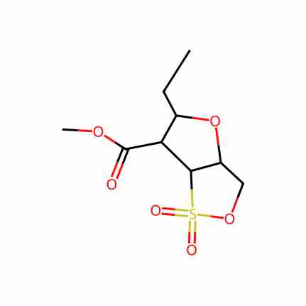 CCC1OC2COS(=O)(=O)C2C1C(=O)OC